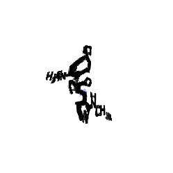 CNc1cc(Cl)ccc1NC(=O)/C=C/c1cccnc1NC